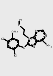 COc1cc(Sc2nc3c(N)ncnc3n2CCOC(C)C)c(Cl)cc1Cl